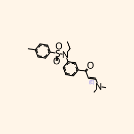 CCN(c1cccc(C(=O)/C=C/N(C)C)c1)S(=O)(=O)c1ccc(C)cc1